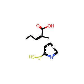 CCC=C(C)C(=O)O.SSc1ccccn1